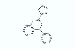 C1=CCC(C2=Cc3ccccc3C(c3ccccc3)C2)=C1